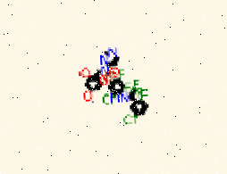 COc1ccc(CN(c2ccncn2)S(=O)(=O)c2cc(Cl)c(N[C@H](c3cc(Cl)ccc3F)C(F)(F)F)cc2F)c(OC)c1